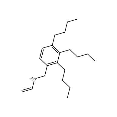 C=[CH][Sn][CH2]c1ccc(CCCC)c(CCCC)c1CCCC